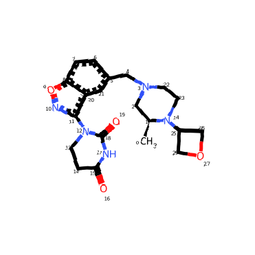 C[C@H]1CN(Cc2ccc3onc(N4CCC(=O)NC4=O)c3c2)CCN1C1COC1